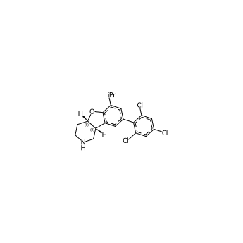 CC(C)c1cc(-c2c(Cl)cc(Cl)cc2Cl)cc2c1O[C@H]1CCNC[C@@H]21